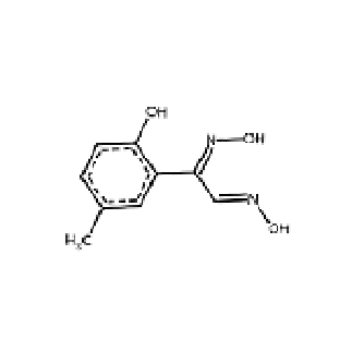 Cc1ccc(O)c(C(C=NO)=NO)c1